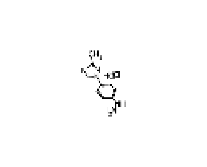 Cc1ncn(-c2ccc(NN)cc2)n1.Cl.Cl